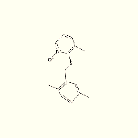 Cc1ccc(C)c(CSc2c(C)ccc[n+]2[O-])c1